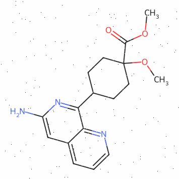 COC(=O)C1(OC)CCC(c2nc(N)cc3cccnc23)CC1